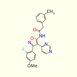 COc1ccc(-c2noc(NC(=O)Cc3cccc(C)c3)c2-c2ccncn2)c(F)c1